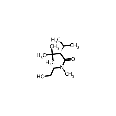 CC(C)[C@H](C(=O)N(C)CCO)C(C)(C)C